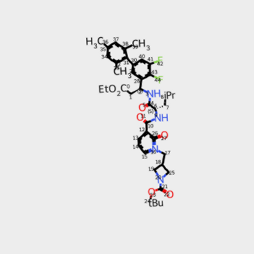 CCOC(=O)C[C@H](NC(=O)[C@H](CC(C)C)NC(=O)c1cccn(CC2CN(C(=O)OC(C)(C)C)C2)c1=O)c1cc(-c2c(C)cc(C)cc2C)cc(F)c1F